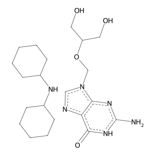 C1CCC(NC2CCCCC2)CC1.Nc1nc2c(ncn2COC(CO)CO)c(=O)[nH]1